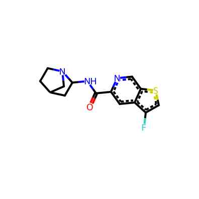 O=C(NC1CC2CCN1C2)c1cc2c(F)csc2cn1